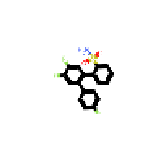 NS(=O)(=O)c1ccccc1-c1cc(F)c(F)cc1-c1ccc(F)cc1